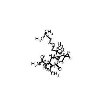 CN(C)CCOCC(C)(C)S(=O)(=O)C1(CN2CCc3c(C(N)=O)nn(C)c3C2=O)CC1